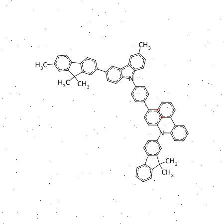 Cc1ccc2c(c1)C(C)(C)c1cc(-c3ccc4c(c3)c3cc(C)ccc3n4-c3ccc(-c4ccc(N(c5ccc6c(c5)C(C)(C)c5ccccc5-6)c5ccccc5-c5ccccc5)cc4)cc3)ccc1-2